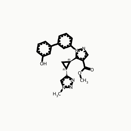 COC(=O)c1cnn(-c2cccc(-c3cccc(O)c3)c2)c1[C@@H]1C[C@H]1c1cn(C)nn1